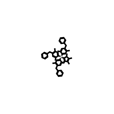 CC1=C(C)C(C)C([Si](c2cc(C)c(Cc3ccccc3)cc2C)(c2cc(C)c(Cc3ccccc3)cc2C)c2cc(C)c(Cc3ccccc3)cc2C)=C1C